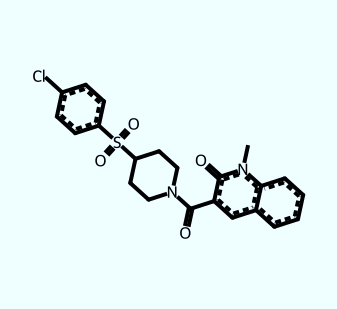 Cn1c(=O)c(C(=O)N2CCC(S(=O)(=O)c3ccc(Cl)cc3)CC2)cc2ccccc21